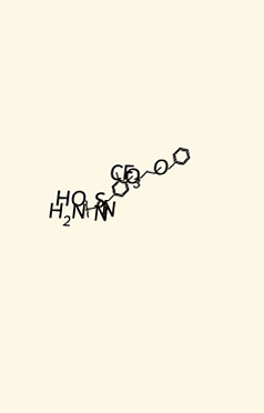 CC(N)(CO)c1nnc(-c2ccc(OCCCOCc3ccccc3)c(C(F)(F)F)c2)s1